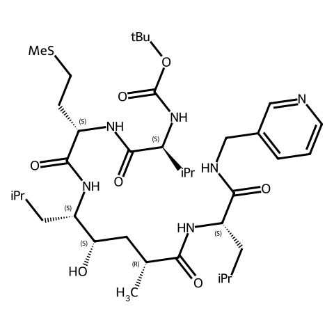 CSCC[C@H](NC(=O)[C@@H](NC(=O)OC(C)(C)C)C(C)C)C(=O)N[C@@H](CC(C)C)[C@@H](O)C[C@@H](C)C(=O)N[C@@H](CC(C)C)C(=O)NCc1cccnc1